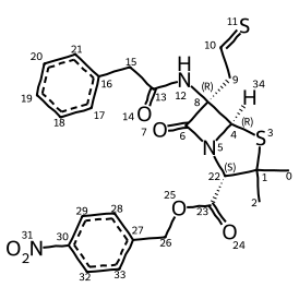 CC1(C)S[C@H]2N(C(=O)[C@@]2(CC=S)NC(=O)Cc2ccccc2)[C@H]1C(=O)OCc1ccc([N+](=O)[O-])cc1